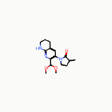 COC(OC)c1nc2c(cc1N1CCC(C)C1=O)CCCN2